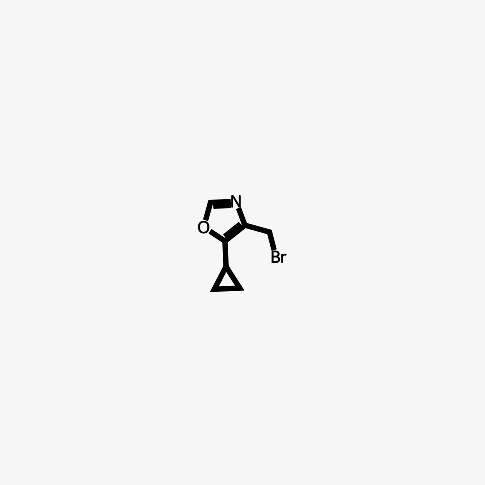 BrCc1ncoc1C1CC1